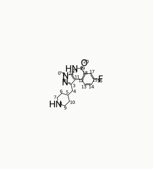 Cn1nc(CC2CCNCC2)c2c3ccc(F)cc3c(=O)[nH]c21